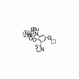 CC(C)(C)OC(=O)N1C2CC1CN(c1nc3cc(OC4CCC4)cc(-c4nccs4)c3o1)C2